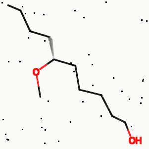 CCCC[C@H](CCCCCO)OC